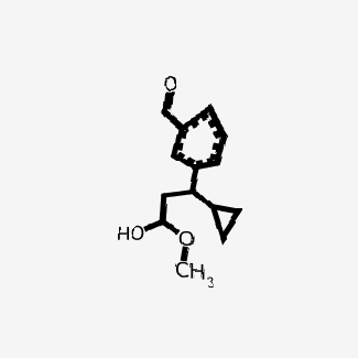 COC(O)CC(c1cccc(C=O)c1)C1CC1